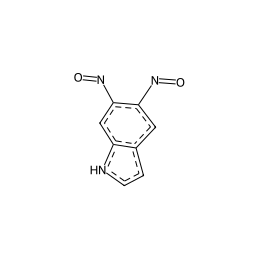 O=Nc1cc2cc[nH]c2cc1N=O